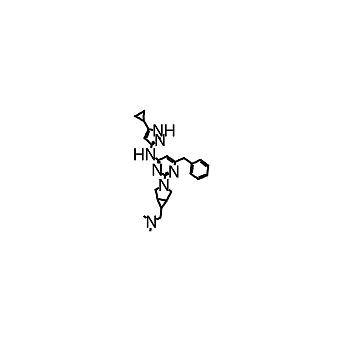 CN(C)CC1C2CN(c3nc(Cc4ccccc4)cc(Nc4cc(C5CC5)[nH]n4)n3)CC12